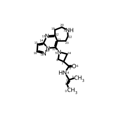 C/C=C(\C)NC(=O)C1CN(c2c3c(nc4ccnn24)CCNCC3)C1